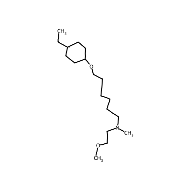 CC[C]1CCC(OCCCCCCN(C)CCOC)CC1